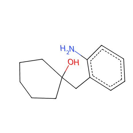 Nc1ccccc1CC1(O)CCCCC1